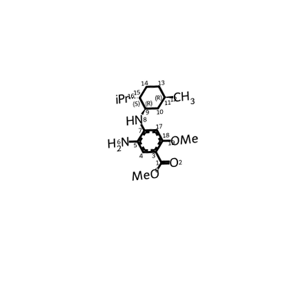 COC(=O)c1cc(N)c(N[C@@H]2C[C@H](C)CC[C@H]2C(C)C)cc1OC